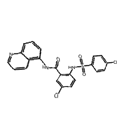 O=C(Nc1cccc2ncccc12)c1cc(Cl)ccc1NS(=O)(=O)c1ccc(Cl)cc1